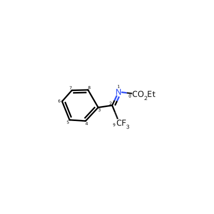 CCOC(=O)N=C(c1ccccc1)C(F)(F)F